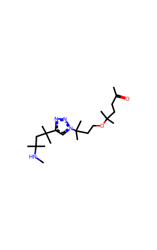 CNC(C)(C)CC(C)(C)c1cn(C(C)(C)CCOC(C)(C)CCC(C)=O)nn1